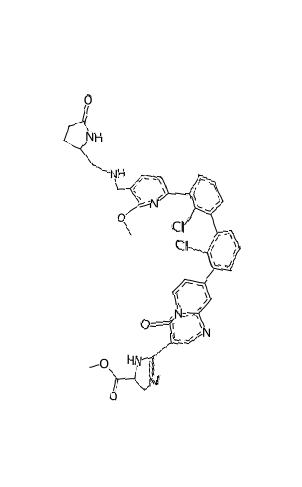 COC(=O)C1CN=C(c2cnc3cc(-c4cccc(-c5cccc(-c6ccc(CNCC7CCC(=O)N7)c(OC)n6)c5Cl)c4Cl)ccn3c2=O)N1